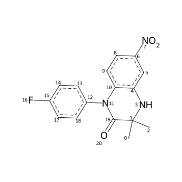 CC1(C)Nc2cc([N+](=O)[O-])ccc2N(c2ccc(F)cc2)C1=O